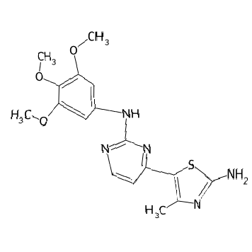 COc1cc(Nc2nccc(-c3sc(N)nc3C)n2)cc(OC)c1OC